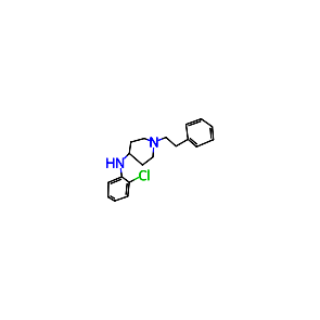 Clc1ccccc1NC1CCN(CCc2ccccc2)CC1